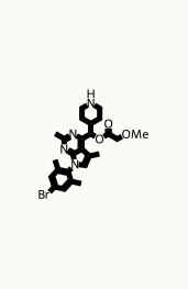 COCC(=O)OC(c1nc(C)nc2c1c(C)cn2-c1c(C)cc(Br)cc1C)C1CCNCC1